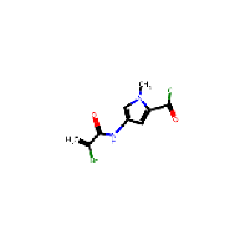 C=C(Br)C(=O)Nc1cc(C(=O)Cl)n(C)c1